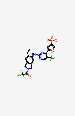 CCc1cc2c(cc1Nc1ncc(C(F)(F)F)c(-c3cc(S(C)(=O)=O)cs3)n1)CN(C(=O)C(F)(F)F)C2